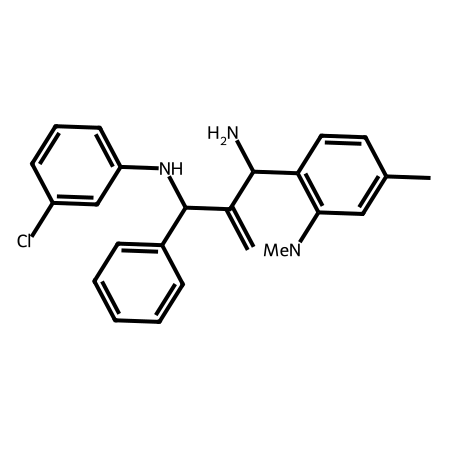 C=C(C(N)c1ccc(C)cc1NC)C(Nc1cccc(Cl)c1)c1ccccc1